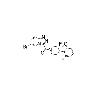 O=C(c1nnc2ccc(Br)cn12)N1CCC(c2c(F)cccc2C(F)(F)F)CC1